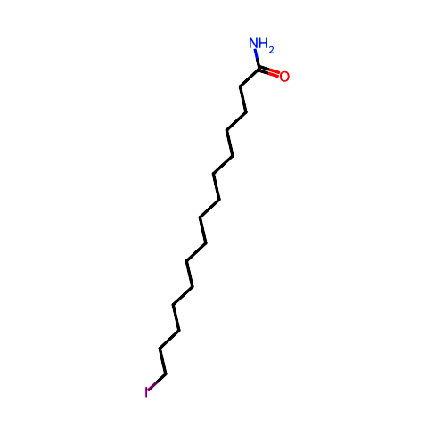 NC(=O)CCCCCCCCCCCCCCI